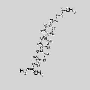 CCCCCOc1ccc(-c2ccc(C3CCC(CCC(C)C)CC3)cc2)cc1